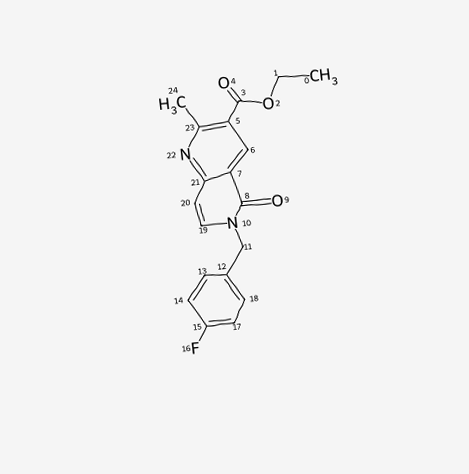 CCOC(=O)c1cc2c(=O)n(Cc3ccc(F)cc3)ccc2nc1C